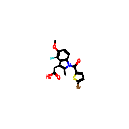 COc1ccc2c(c1F)c(CC(=O)O)c(C)n2C(=O)c1ccc(Br)s1